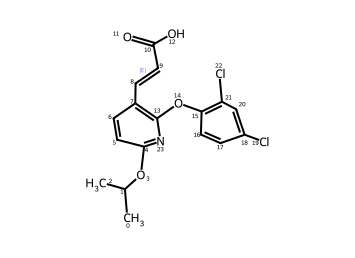 CC(C)Oc1ccc(/C=C/C(=O)O)c(Oc2ccc(Cl)cc2Cl)n1